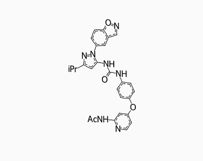 CC(=O)Nc1cc(Oc2ccc(NC(=O)Nc3cc(C(C)C)nn3-c3ccc4oncc4c3)cc2)ccn1